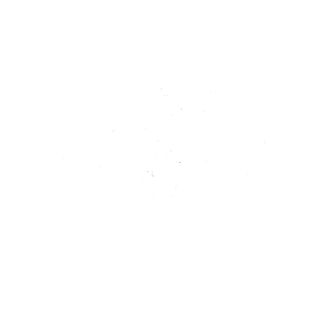 C[C@@H]1C2C[C@@H](CC1[N@+]13CC(=O)C(C1)C(=O)O[B-]3(O)/C=C/c1ccccc1)C2(C)C